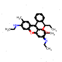 CC/N=c1\cc2oc3cc(NCC)c(C)cc3c(-c3ccccc3C(CC)OO)c-2cc1C